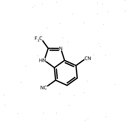 N#Cc1ccc(C#N)c2[nH]c(C(F)(F)F)nc12